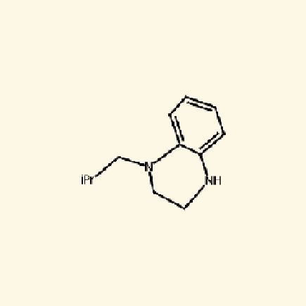 CC(C)CN1CCNc2ccccc21